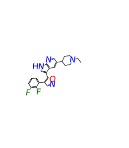 CCN1CCC(c2cnc3[nH]cc(-c4oncc4-c4cccc(F)c4F)c3c2)CC1